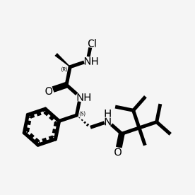 CC(C)C(C)(C(=O)NC[C@@H](NC(=O)[C@@H](C)NCl)c1ccccc1)C(C)C